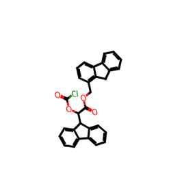 O=C(Cl)OC(C(=O)OCc1cccc2c1Cc1ccccc1-2)C1c2ccccc2-c2ccccc21